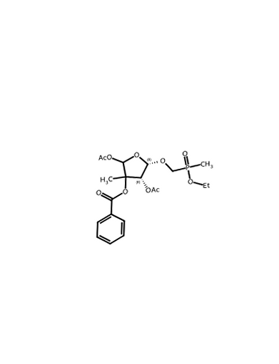 CCOP(C)(=O)CO[C@H]1OC(OC(C)=O)C(C)(OC(=O)c2ccccc2)[C@H]1OC(C)=O